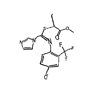 COC(=O)C(C)S/C(=N/c1ccc(Cl)cc1C(F)(F)F)n1ccnc1